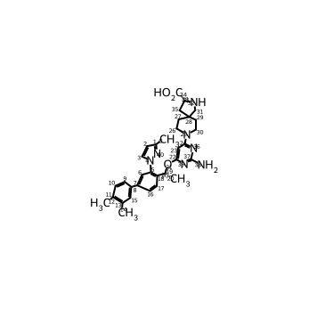 Cc1ccn(-c2cc(-c3ccc(C)c(C)c3)ccc2[C@@H](C)Oc2cc(N3CCC4(CC3)CN[C@@H](C(=O)O)C4)nc(N)n2)n1